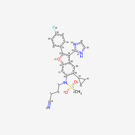 CS(=O)(=O)N(CCCC#N)c1cc2oc(-c3ccc(F)cc3)c(-c3ncc[nH]3)c2cc1C1CC1